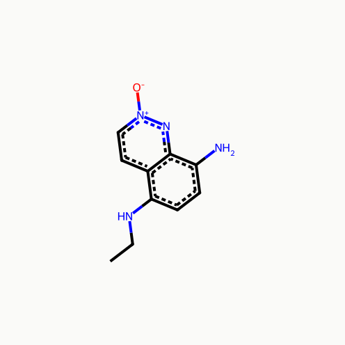 CCNc1ccc(N)c2n[n+]([O-])ccc12